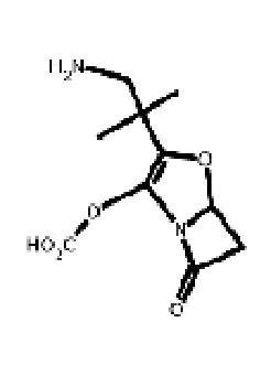 CC(C)(CN)C1=C(OC(=O)O)N2C(=O)CC2O1